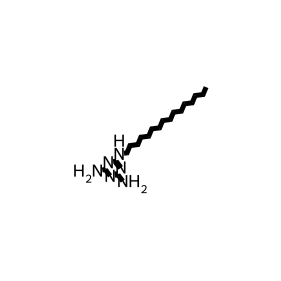 CCCCCCCCCCCCCCCCNc1nc(N)nc(N)n1